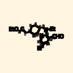 CCOC(=O)C[C@H]1CC[C@H](CN(CC)c2ncc(Br)cc2C=O)CC1